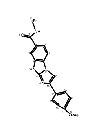 CCCNC(=O)c1ccc2c(c1)sc1nc(-c3ccc(OC)cc3)cn12